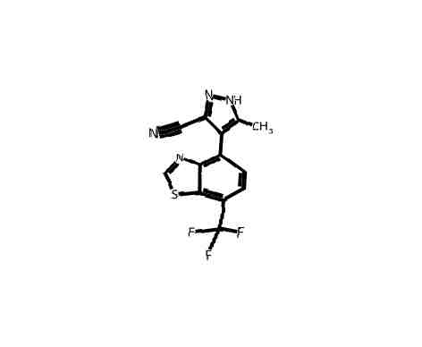 Cc1[nH]nc(C#N)c1-c1ccc(C(F)(F)F)c2scnc12